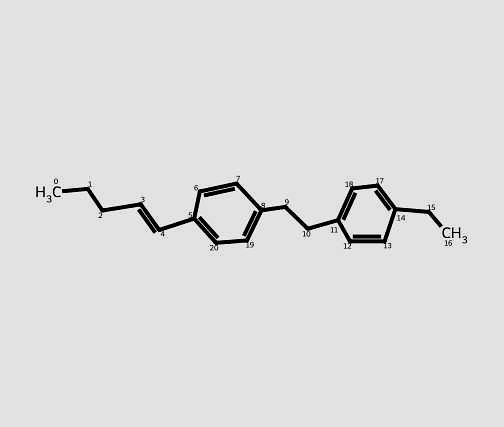 CCCC=Cc1ccc(CCc2ccc(CC)cc2)cc1